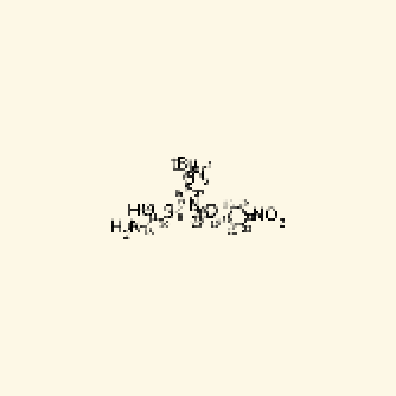 CC(C)(C)[Si](C)(C)O[C@@H]1C[C@@H](CSCC(O)CN)N(C(=O)OCc2ccc([N+](=O)[O-])cc2)C1